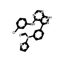 O=CN(c1cccc(-c2n[nH]c3ncnc(Nc4cccc(Cl)c4)c23)c1)c1ccco1